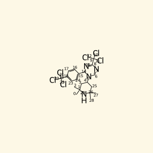 CC1(C)CC(N2C=NC(C(Cl)(Cl)Cl)=NC2c2ccc(C(Cl)(Cl)Cl)cc2)CC(C)(C)N1